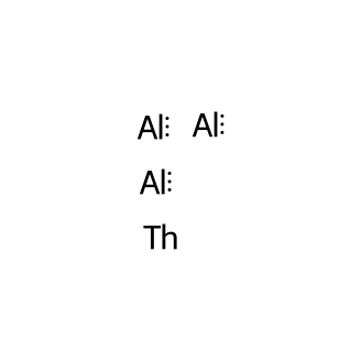 [Al].[Al].[Al].[Th]